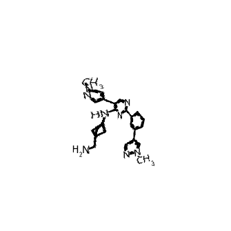 Cn1cc(-c2cccc(-c3ncc(-c4cnn(C)c4)c(NC45CC(CN)(C4)C5)n3)c2)cn1